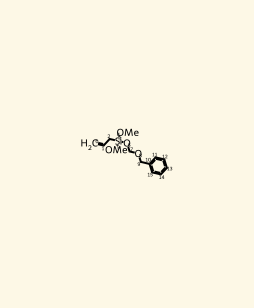 C=CC[Si](OC)(OC)OCOCc1ccccc1